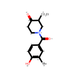 CCOC(=O)C1CN(C(=O)c2ccc(O)c(C(C)(C)C)c2)CCC1=O